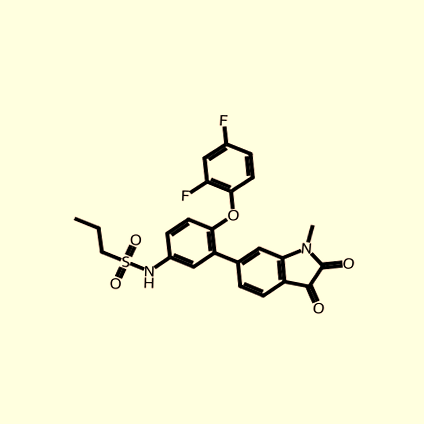 CCCS(=O)(=O)Nc1ccc(Oc2ccc(F)cc2F)c(-c2ccc3c(c2)N(C)C(=O)C3=O)c1